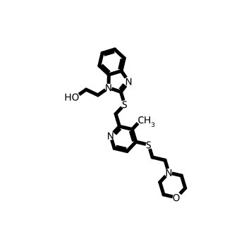 Cc1c(SCCN2CCOCC2)ccnc1CSc1nc2ccccc2n1CCO